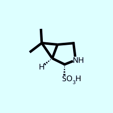 CC1(C)C2CN[C@H](S(=O)(=O)O)[C@H]21